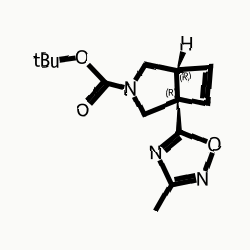 Cc1noc([C@]23C=C[C@H]2CN(C(=O)OC(C)(C)C)C3)n1